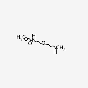 CNCCCCOCCCNC(=O)COC